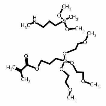 C=C(C)C(=O)OCCC[Si](OCCOC)(OCCOC)OCCOC.CNCCC[Si](C)(OC)OC